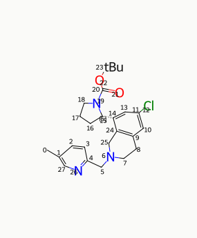 Cc1ccc(CN2CCc3cc(Cl)cc([C@@H]4CCCN4C(=O)OC(C)(C)C)c3C2)nc1